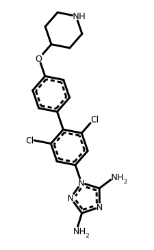 Nc1nc(N)n(-c2cc(Cl)c(-c3ccc(OC4CCNCC4)cc3)c(Cl)c2)n1